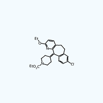 CCOC(=O)N1CCC(=C2c3ccc(Cl)cc3CCc3ccc(OCC)nc32)CC1